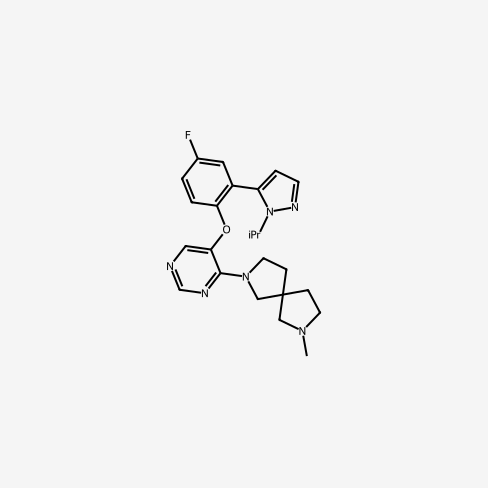 CC(C)n1nccc1-c1cc(F)ccc1Oc1cncnc1N1CCC2(CCN(C)C2)C1